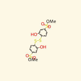 COS(=O)(=O)c1ccc(SSc2ccc(S(=O)(=O)OC)cc2O)c(O)c1